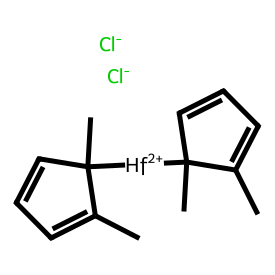 CC1=CC=C[C]1(C)[Hf+2][C]1(C)C=CC=C1C.[Cl-].[Cl-]